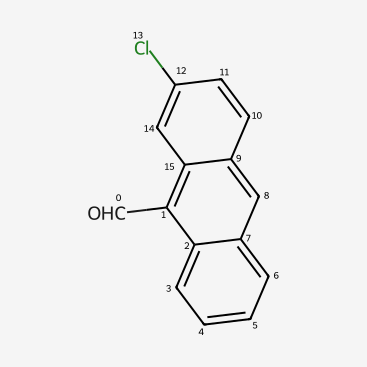 O=Cc1c2ccccc2cc2ccc(Cl)cc12